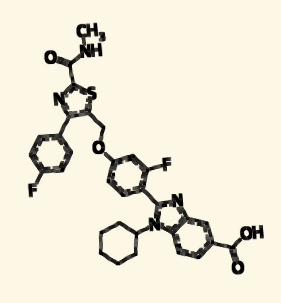 CNC(=O)c1nc(-c2ccc(F)cc2)c(COc2ccc(-c3nc4cc(C(=O)O)ccc4n3C3CCCCC3)c(F)c2)s1